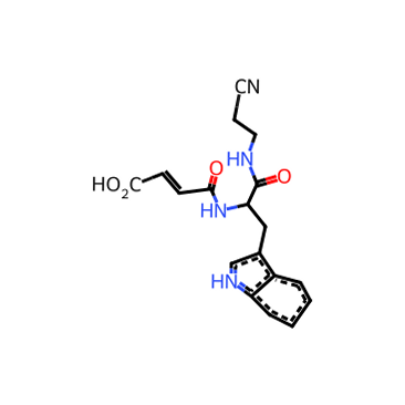 N#CCCNC(=O)C(Cc1c[nH]c2ccccc12)NC(=O)C=CC(=O)O